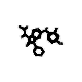 Cc1cc(C#N)ccc1Nc1ncc2c(n1)n(C1CCOCC1)c(=O)n2C(F)C(F)F